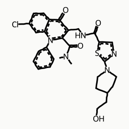 CN(C)C(=O)c1c(CNC(=O)c2cnc(N3CCC(CCO)CC3)s2)c(=O)c2ccc(Cl)cc2n1-c1ccccc1